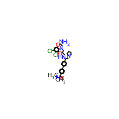 CN(C)C(=O)c1ccc(-c2ccc(C(CN3CCCC3)NCC(=O)CN(CC(N)=O)c3ccc(Cl)c(Cl)c3)cc2)cc1